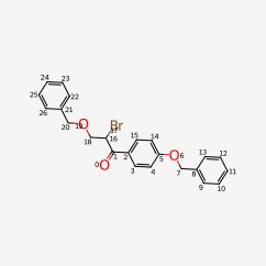 O=C(c1ccc(OCc2ccccc2)cc1)C(Br)COCc1ccccc1